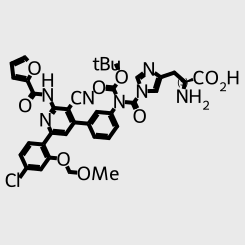 COCOc1cc(Cl)ccc1-c1cc(-c2cccc(N(C(=O)OC(C)(C)C)C(=O)n3cnc(C[C@H](N)C(=O)O)c3)c2)c(C#N)c(NC(=O)c2ccco2)n1